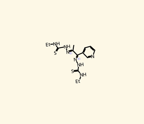 CCNC(=S)N/N=C(C)/C(=N/NC(=S)NCC)c1cccnc1